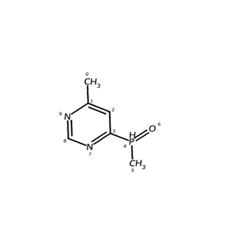 Cc1cc([PH](C)=O)ncn1